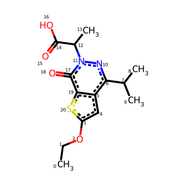 CCOc1cc2c(C(C)C)nn(C(C)C(=O)O)c(=O)c2s1